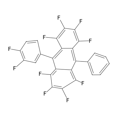 Fc1ccc(-c2c3c(F)c(F)c(F)c(F)c3c(-c3ccccc3)c3c(F)c(F)c(F)c(F)c23)cc1F